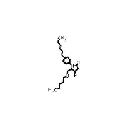 CCCCCCc1ccc(N2C(=O)CC(F)C2COCCCCC)cc1